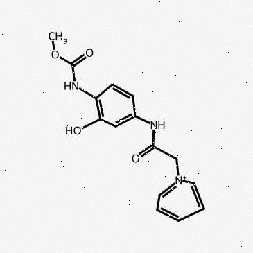 COC(=O)Nc1ccc(NC(=O)C[n+]2ccccc2)cc1O